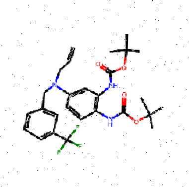 C=CCN(Cc1cccc(C(F)(F)F)c1)c1ccc(NC(=O)OC(C)(C)C)c(NC(=O)OC(C)(C)C)c1